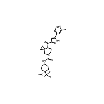 CO[C@]1(C(F)(F)F)CC[C@H](NC(=O)[C@H]2CCN(C(=O)c3cc(-c4cc(C)ncn4)[nH]n3)C3(CC3)C2)CC1